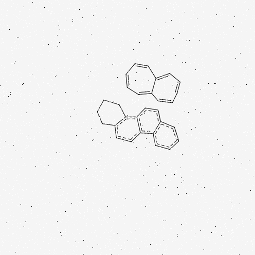 C1=CC=C2C=CC=CC=C2C=C1.c1ccc2c(c1)ccc1c3c(ccc12)CCCC3